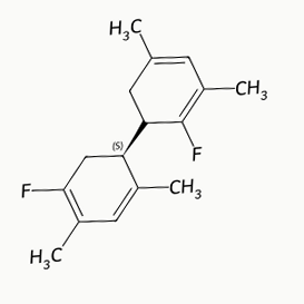 CC1=CC(C)=C(F)C([C@@H]2CC(F)=C(C)C=C2C)C1